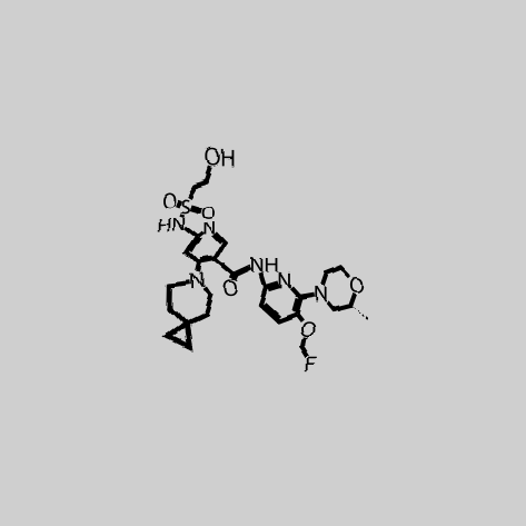 C[C@@H]1CN(c2nc(NC(=O)c3cnc(NS(=O)(=O)CCO)cc3N3CCC4(CC3)CC4)ccc2OCF)CCO1